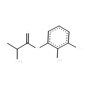 CC(O)C(=O)Oc1cccc(O)c1O